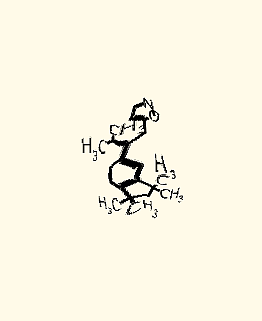 CC(C)=C(Cc1ccno1)c1ccc2c(c1)C(C)(C)CC2(C)C